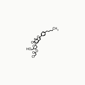 CCCCCc1ccc(-c2cc3cn(C4CC(OC(=O)CCl)C(CO)O4)c(=O)nc3o2)cc1